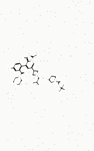 Cc1nc(F)c2c(-c3ccc(F)cc3C(=O)N3CCOC[C@H]3C)cc(C3CN([C@H](CO[C@@H]4CCN(C(=O)OC(C)(C)C)C4)C(C)C)C3)cn12